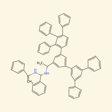 C=C(NC(NC(C)c1cc(-c2cc(-c3ccccc3)cc(-c3ccccc3)c2)cc(-c2ccc(-c3ccccc3)c(-c3ccccc3)c2-c2ccccc2)c1)c1ccccc1)c1ccccc1